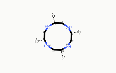 CC[C@@H]1CN[C@H](CC)CN[C@H](CC)CN[C@H](CC)CN1